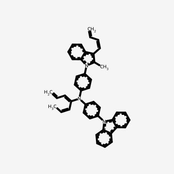 C=C/C=C\c1c(C)n(-c2ccc(N(C(/C=C\C)=C/C=C)c3ccc(-n4c5ccccc5c5ccccc54)cc3)cc2)c2ccccc12